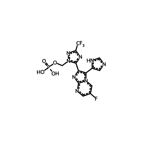 O=P(O)(O)OCn1nc(C(F)(F)F)nc1-c1nc2ncc(F)cn2c1-c1cnc[nH]1